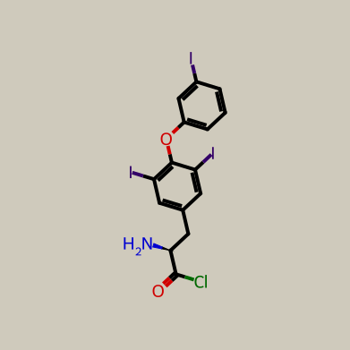 N[C@@H](Cc1cc(I)c(Oc2cccc(I)c2)c(I)c1)C(=O)Cl